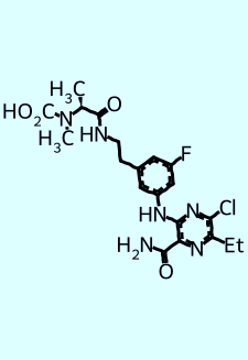 CCc1nc(C(N)=O)c(Nc2cc(F)cc(CCNC(=O)[C@H](C)N(C)C(=O)O)c2)nc1Cl